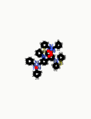 c1ccc(-c2nc(-c3ccccc3)nc(-c3cc(-c4ccc(-c5nc(-c6ccccc6)nc(-c6ccccc6)n5)cc4N4c5ccccc5Sc5ccccc54)cc(N4c5ccccc5Sc5ccccc54)c3)n2)cc1